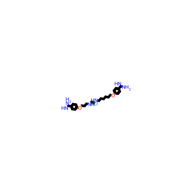 Cl.N=C(N)c1ccc(OCCCCCCNCCNCCCOc2ccc(C(=N)N)cc2)cc1